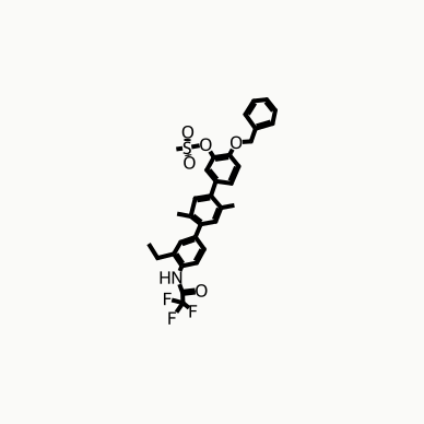 CCc1cc(-c2cc(C)c(-c3ccc(OCc4ccccc4)c(OS(C)(=O)=O)c3)cc2C)ccc1NC(=O)C(F)(F)F